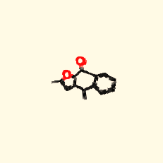 C=C1c2ccccc2C(=O)c2oc(C)cc21